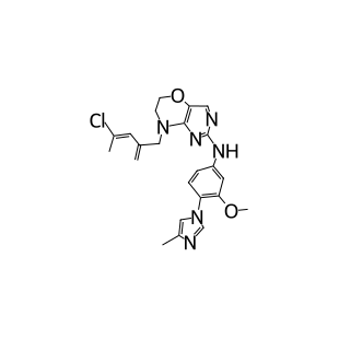 C=C(/C=C(\C)Cl)CN1CCOc2cnc(Nc3ccc(-n4cnc(C)c4)c(OC)c3)nc21